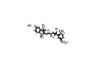 CCN1/C(=C/C=C/CC(C)(C)c2cc(S(=O)(=O)O)ccc2C)C(C)(C)c2cc(S(=O)(=O)O)ccc21